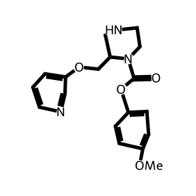 COc1ccc(OC(=O)N2CCNCC2COc2cccnc2)cc1